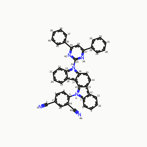 N#Cc1ccc(-n2c3ccccc3c3ccc4c(c5ccccc5n4-c4nc(-c5ccccc5)cc(-c5ccccc5)n4)c32)c(C#N)c1